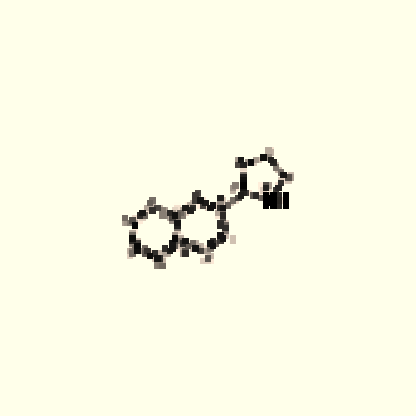 c1ccc2cc(C3CCCN3)ccc2c1